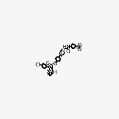 O=C(CN1CCN(c2ccc(OC[C@@H]3CO[C@@](Cc4ncc[nH]4)(c4ccc(Cl)cc4Cl)O3)cc2)CC1)Nc1ccc([N+](=O)[O-])cc1